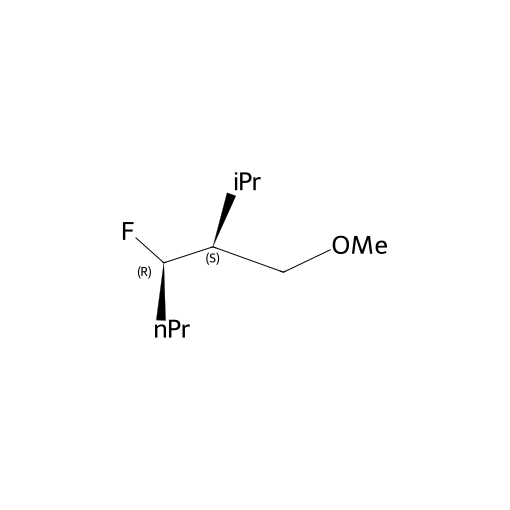 CCC[C@@H](F)[C@H](COC)C(C)C